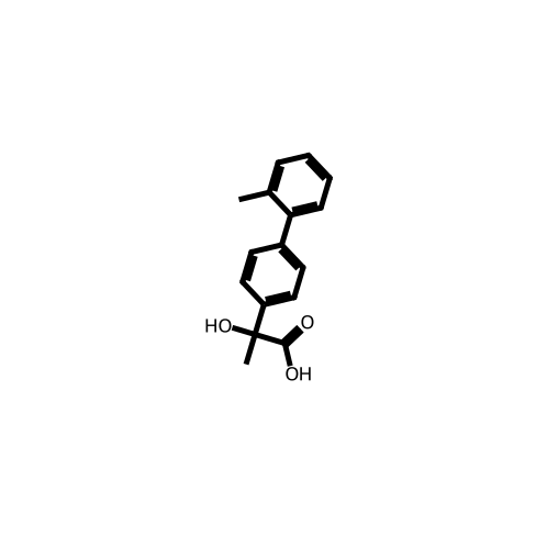 Cc1ccccc1-c1ccc(C(C)(O)C(=O)O)cc1